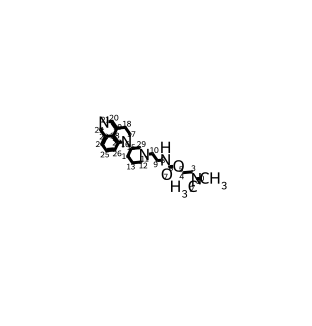 CN(C)CCOC(=O)NCCN1CCCC(N2CCc3cncc4cccc2c34)C1